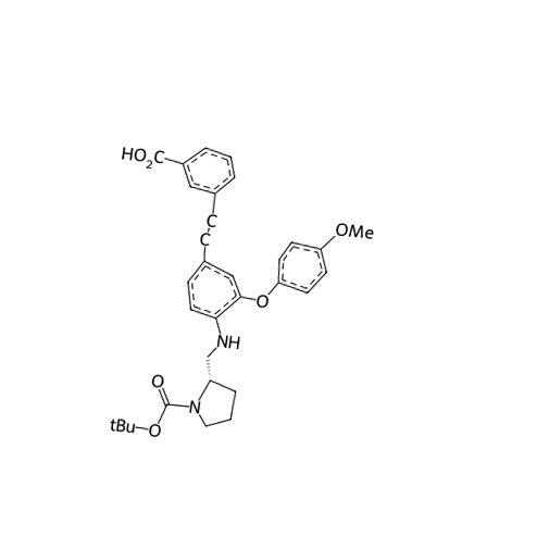 COc1ccc(Oc2cc(CCc3cccc(C(=O)O)c3)ccc2NC[C@@H]2CCCN2C(=O)OC(C)(C)C)cc1